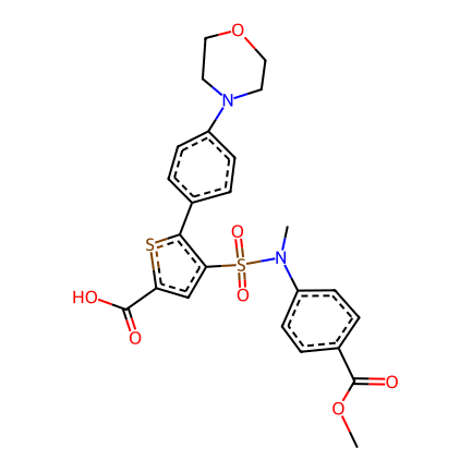 COC(=O)c1ccc(N(C)S(=O)(=O)c2cc(C(=O)O)sc2-c2ccc(N3CCOCC3)cc2)cc1